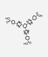 O=C(O)c1ccc(-c2nnc(-c3cc(-c4nnc(-c5ccc(C(=O)O)cc5)nn4)cc(-c4nnc(-c5ccc(C(=O)O)cc5)nn4)c3)nn2)cc1